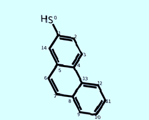 Sc1ccc2c(ccc3ccccc32)c1